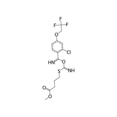 COC(=O)CCCSC(=N)OC(=N)c1ccc(OCC(F)(F)F)cc1Cl